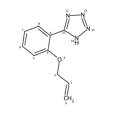 C=CCOc1ccccc1-c1nnn[nH]1